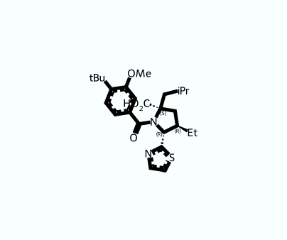 CC[C@@H]1C[C@@](CC(C)C)(C(=O)O)N(C(=O)c2ccc(C(C)(C)C)c(OC)c2)[C@H]1c1nccs1